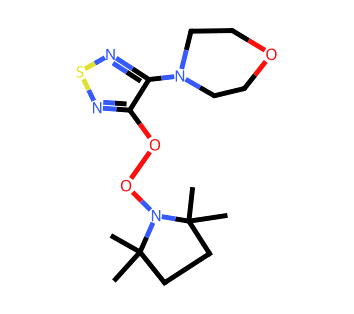 CC1(C)CCC(C)(C)N1OOc1nsnc1N1CCOCC1